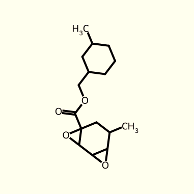 CC1CCCC(COC(=O)C23CC(C)C4OC4C2O3)C1